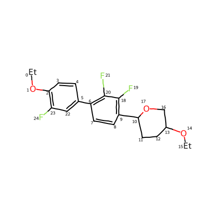 CCOc1ccc(-c2ccc(C3CCC(OCC)CO3)c(F)c2F)cc1F